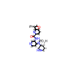 CC(C)c1coc2ccc(C(=O)Nc3cnccc3N(C(=O)O)C3CCCNC3)nc12